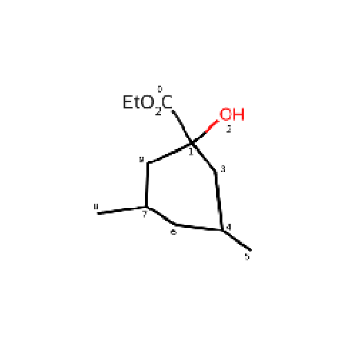 CCOC(=O)C1(O)CC(C)CC(C)C1